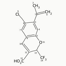 C=C(C)c1cc2c(cc1Cl)C=C(C(=O)O)C(C(F)(F)F)O2